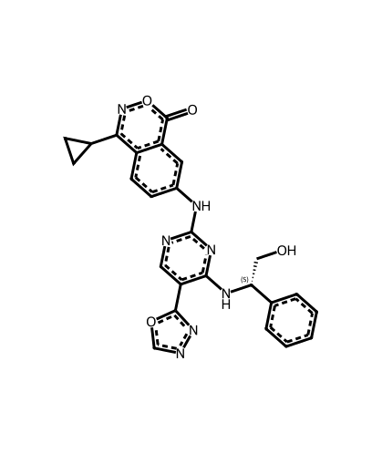 O=c1onc(C2CC2)c2ccc(Nc3ncc(-c4nnco4)c(N[C@H](CO)c4ccccc4)n3)cc12